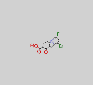 O=C(O)C1CCc2c(cc3c(Br)cc(F)cn23)C1=O